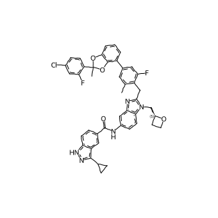 Cc1cc(-c2cccc3c2OC(C)(c2ccc(Cl)cc2F)O3)cc(F)c1Cc1nc2cc(NC(=O)c3ccc4[nH]nc(C5CC5)c4c3)ccc2n1C[C@@H]1CCO1